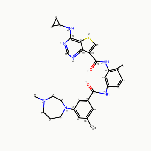 Cc1ccc(NC(=O)c2cc(N3CCCN(C)CC3)cc(C(F)(F)F)c2)cc1NC(=O)c1csc2c(NC3CC3)ncnc12